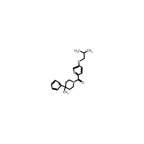 CC(C)COc1ccc(C(=O)N2CCC(C)(c3ccccc3)CC2)nc1